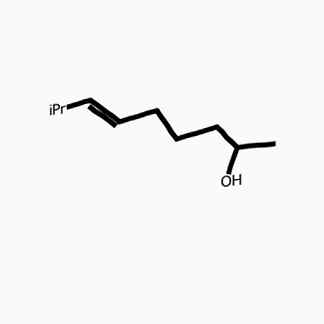 CC(C)C=CCCCC(C)O